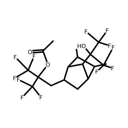 CC(=O)OC(CC1CC2C(C)C(C)C1C2C(O)(C(F)(F)F)C(F)(F)F)(C(F)(F)F)C(F)(F)F